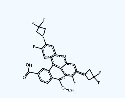 COC(=O)c1ccc(C(=O)O)cc1-c1c2cc(F)c(=[N+]3CC(F)(F)C3)cc-2oc2cc(N3CC(F)(F)C3)c(F)cc12